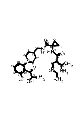 C=C/N=C\C(C(=O)NC1(C(=O)NCC2CCN(c3cccc(F)c3C(=O)C(C)O)CC2)CC1)=C(\C)N